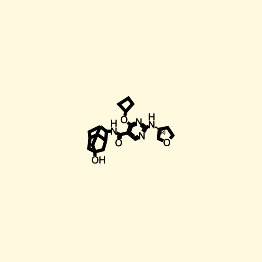 O=C(NC1C2CC3CC1CC(O)(C3)C2)c1cnc(N[C@@H]2CCOC2)nc1OC1CCC1